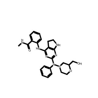 CNC(=O)c1ccccc1Nc1nc(N(c2ccccc2)N2CCOC(CO)C2)nc2c1CCN2